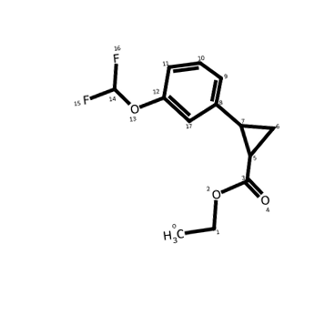 CCOC(=O)C1CC1c1cccc(OC(F)F)c1